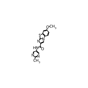 COc1ccc2c(c1)sc1nc(C(=O)Nc3cnc(C)nc3)cn12